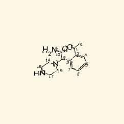 CC(=O)c1ccccc1C(C(N)=O)N1CCNCC1